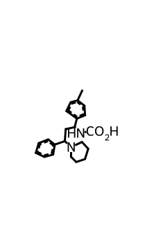 Cc1ccc(C(CC(c2ccccc2)N2CCCCC2)NC(=O)O)cc1